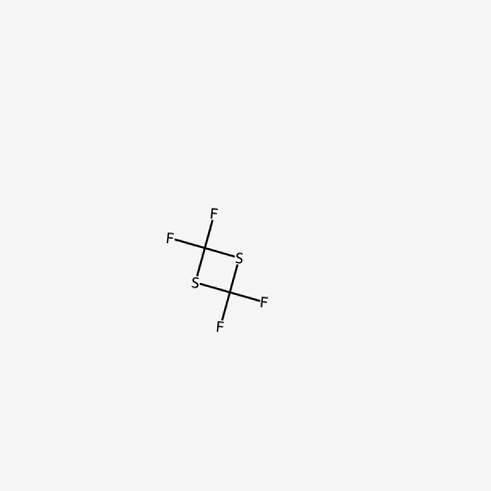 FC1(F)SC(F)(F)S1